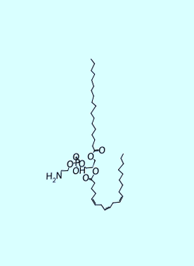 CCCCCCCC/C=C\C/C=C\C/C=C\CCCC(=O)O[C@H](COC(=O)CCCCCCCCCCCCCCCCC)COP(=O)(O)OCCN